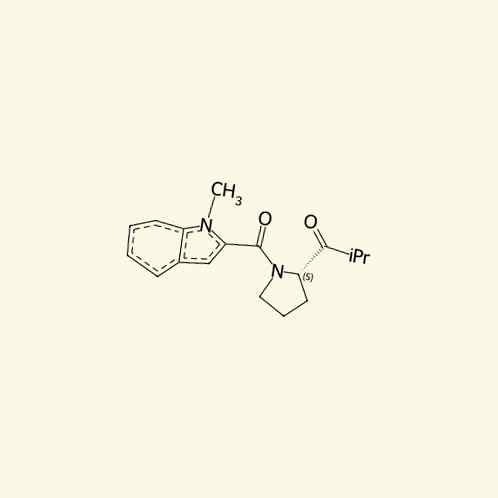 CC(C)C(=O)[C@@H]1CCCN1C(=O)c1cc2ccccc2n1C